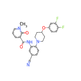 Cn1cccc(C(=O)Nc2cc(C#N)ccc2N2CCC(Oc3ccc(F)c(F)c3)CC2)c1=O